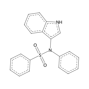 O=S(=O)(c1ccccc1)N(c1ccccc1)c1c[nH]c2ccccc12